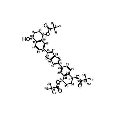 CC(C)(C)C(=O)OC1CCC(O)c2ccc(-c3cc4sc(-c5ccc6c(c5)C(OC(=O)C(C)(C)C)CCC6OC(=O)C(C)(C)C)cc4s3)cc21